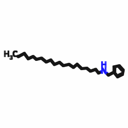 CCCCCCCCCCCCCCCCCCCCNCc1ccccc1